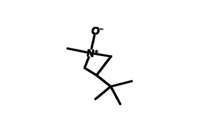 CC(C)(C)C1C[N+](C)([O-])C1